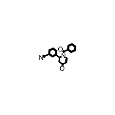 N#Cc1cccc(C2CC(=O)C=CN2C(=O)c2ccccc2)c1